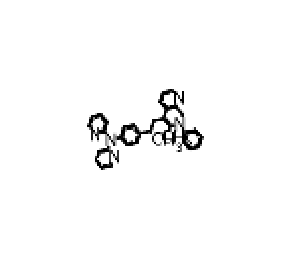 CC1=C(CC(C)c2ccc(N(c3ccccn3)c3ccccn3)cc2)c2cccnc2CN1c1ccccc1